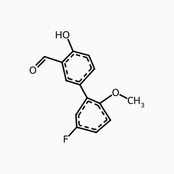 COc1ccc(F)cc1-c1ccc(O)c(C=O)c1